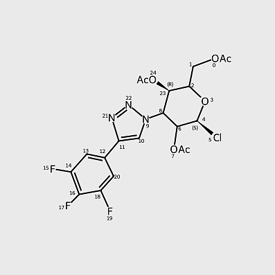 CC(=O)OCC1O[C@@H](Cl)C(OC(C)=O)C(n2cc(-c3cc(F)c(F)c(F)c3)nn2)[C@H]1OC(C)=O